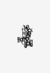 C=CC(=O)Nc1cccc(C)c1Nc1cc2c(NC3CCC(F)(F)C3)nc(-c3c(Cl)c(OC)cc(OC)c3Cl)cc2cn1